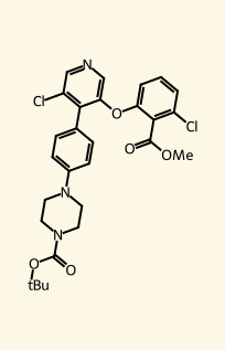 COC(=O)c1c(Cl)cccc1Oc1cncc(Cl)c1-c1ccc(N2CCN(C(=O)OC(C)(C)C)CC2)cc1